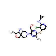 Cc1nc(N2CCC3(CC2)COC(C)C3N)c(CO)nc1Sc1ccnc(NC2CC2)c1Cl